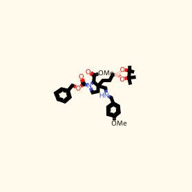 COC(=O)C1N(C(=O)OCc2ccccc2)CCC1(CCCB1OC(C)(C)C(C)(C)O1)CNCc1ccc(OC)cc1